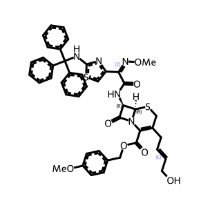 CO/N=C(\C(=O)N[C@@H]1C(=O)N2C(C(=O)OCc3ccc(OC)cc3)=C(C/C=C/CO)CS[C@H]12)c1csc(NC(c2ccccc2)(c2ccccc2)c2ccccc2)n1